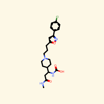 CNC(=O)CC(NC(=O)O)C1CCN(CCCc2cc(-c3ccc(Cl)cc3)no2)CC1